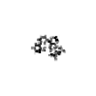 CC(=O)O[C@@H]1[C@@H](OC(C)=O)[C@H](OC(C)=O)CS[C@H]1Oc1cccc(-c2cccnc2Cl)c1